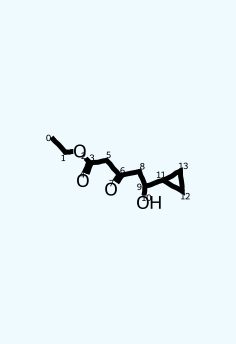 CCOC(=O)CC(=O)CC(O)C1CC1